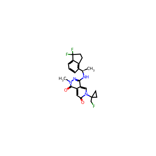 C[C@@H](Nc1nn(C)c(=O)c2cc(=O)n(C3(CF)CC3)cc12)c1cccc2c1CCC2(F)F